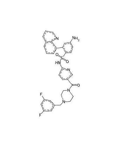 Nc1ccc(S(=O)(=O)Nc2ccc(C(=O)N3CCN(Cc4cc(F)cc(F)c4)CC3)cn2)c(-c2cccc3cccnc23)c1